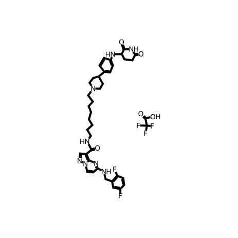 O=C(O)C(F)(F)F.O=C1CCC(Nc2ccc(C3CCN(CCCCCCCCNC(=O)c4cnn5ccc(NCc6cc(F)ccc6F)nc45)CC3)cc2)C(=O)N1